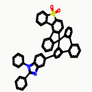 O=S1(=O)c2ccccc2-c2c1ccc1c2-c2ccccc2C12c1ccccc1-c1ccccc1-c1ccc(-c3ccc4c(c3)nc(-c3ccccc3)n4-c3ccccc3)cc12